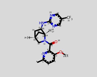 CCOc1ccc(C)nc1C(=O)N1C[C@H]2C[C@@H](Nc3ncc(C(F)(F)F)cn3)[C@@H]1C2